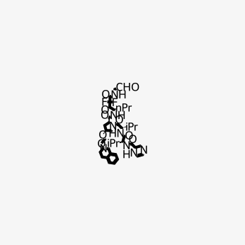 CCC[C@H](NC(=O)[C@@H]1C[C@@H](OCON2CCc3ccccc3C2)CN1C(=O)[C@@H](NC(=O)[C@@H](NC(=O)c1cnccn1)C(C)C)C(C)C)C(=O)C(F)(F)C(=O)NCC=O